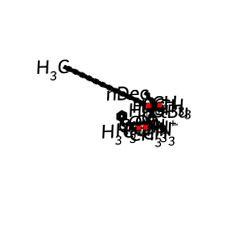 CC#CC#CC#CC#CC#CC#CC#CC#CC#CC#CC#CC#CC(=O)N[C@@H](CO[C@H]1OC(CN=[N+]=[N-])[C@H](C)[C@H](C)C1OC1OC(COCc2ccccc2)[C@H](C)[C@H](C)C1C)[C@H](O[Si](C)(C)C(C)(C)C)[C@H](C)CCCCCCCCCCCCCC